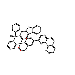 O=P1(c2ccccc2)c2ccccc2C2(c3ccccc3Sc3cc(-c4ccc5ccc6cccnc6c5n4)ccc32)c2cc3c(cc21)oc1ccccc13